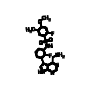 COc1cc(F)c(S(=O)(=O)Nc2cccc(-c3c[nH]c4ncnc(CN)c34)c2F)cc1C